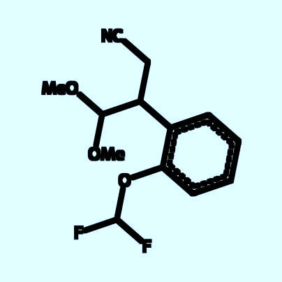 COC(OC)C(CC#N)c1ccccc1OC(F)F